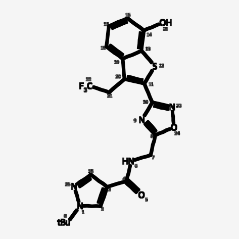 CC(C)(C)n1cc(C(=O)NCc2nc(-c3sc4c(O)cccc4c3CC(F)(F)F)no2)cn1